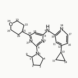 CC1CCCN1c1nc(Nc2cc(C3CC3)ccn2)cc(C2CCOCC2)n1